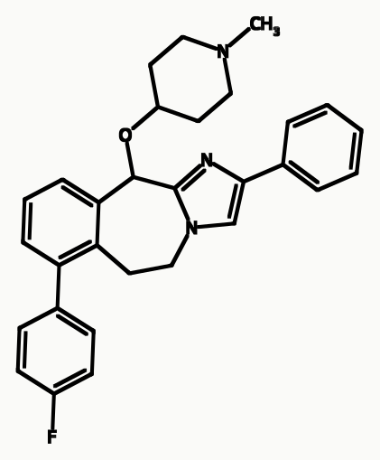 CN1CCC(OC2c3cccc(-c4ccc(F)cc4)c3CCn3cc(-c4ccccc4)nc32)CC1